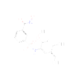 C/C=C(\C=C(\NS(=O)(=O)c1cccc(C(=O)N=O)c1)C(C)OC)CC